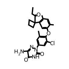 CCC(=O)C1(c2cc(Oc3c(C)cc(-n4nc(N)c(=O)[nH]c4=O)cc3Cl)c(C)cc2C)CCC1